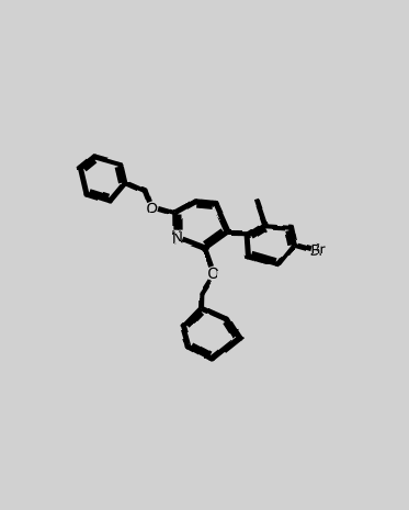 Cc1cc(Br)ccc1-c1ccc(OCc2ccccc2)nc1OCc1ccccc1